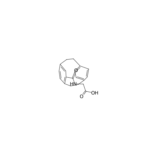 O=C(O)CNC(=O)c1cc2ccc1CCc1ccc(cc1)CC2